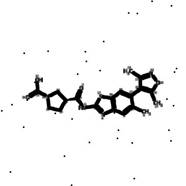 Cc1cc2nc(NC(=O)[C@H]3CCN(C(=O)O)C3)sc2cc1-c1c(C)noc1C